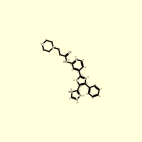 O=C(CCN1CCOCC1)Nc1cc(-c2nc(-c3ccccc3)c(-c3nnc[nH]3)s2)ccn1